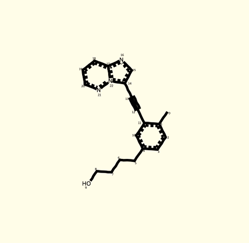 Cc1ccc(CCCCO)cc1C#Cc1cnc2cccnn12